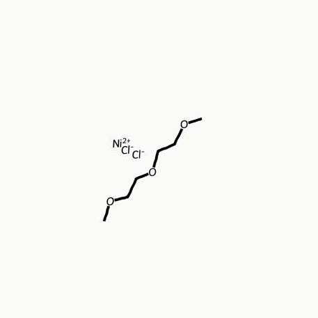 COCCOCCOC.[Cl-].[Cl-].[Ni+2]